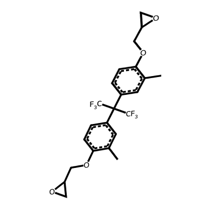 Cc1cc(C(c2ccc(OCC3CO3)c(C)c2)(C(F)(F)F)C(F)(F)F)ccc1OCC1CO1